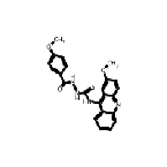 COc1ccc(C(=O)NNC(=S)Nc2c3ccccc3nc3ccc(OC)cc23)cc1